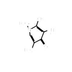 Cc1cn(C)c(C)c(C)c1=O